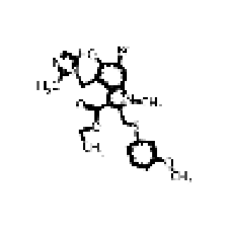 CCOC(=O)c1c(CSc2cccc(OC)c2)n(C)c2cc(Br)c(O)c(Cn3ccnc3C)c12